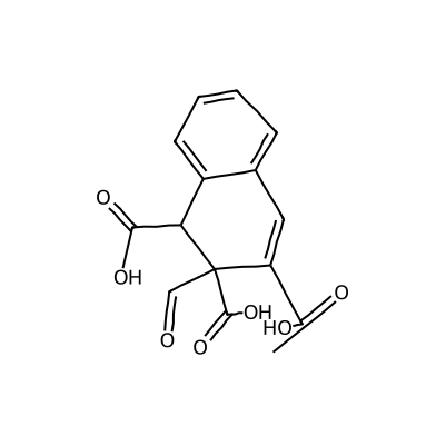 O=CC1(C(=O)O)C(C(=O)O)=Cc2ccccc2C1C(=O)O